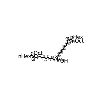 CCCCCCCCC(CCCCCC)C(=O)OCCCCCCCCCN(CCO)CCCCCCCCCOC(=O)C(CCCCCC)CCCCCCCC